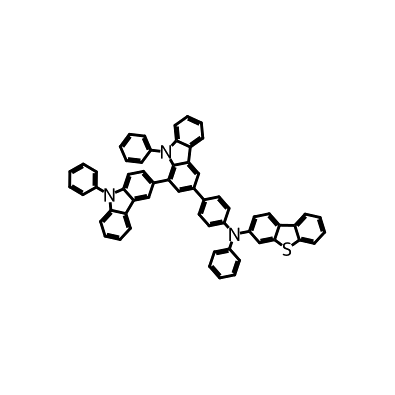 c1ccc(N(c2ccc(-c3cc(-c4ccc5c(c4)c4ccccc4n5-c4ccccc4)c4c(c3)c3ccccc3n4-c3ccccc3)cc2)c2ccc3c(c2)sc2ccccc23)cc1